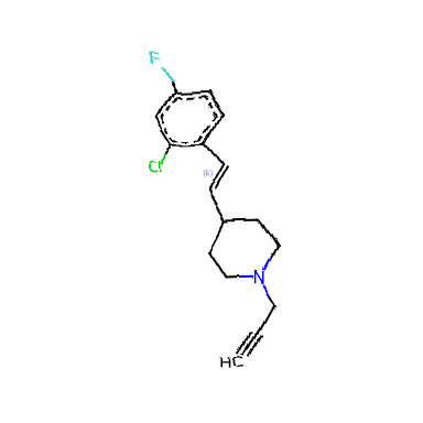 C#CCN1CCC(/C=C/c2ccc(F)cc2Cl)CC1